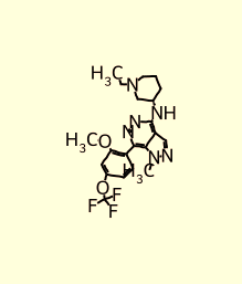 CCN1CCC[C@@H](Nc2nnc(-c3ccc(OC(F)(F)F)cc3OC)c3c2cnn3C)C1